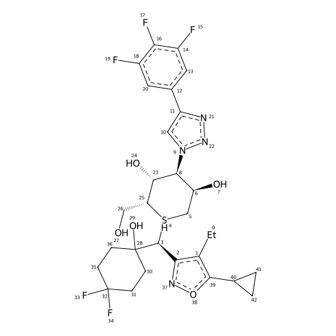 CCc1c([C@H]([SH]2C[C@H](O)[C@H](n3cc(-c4cc(F)c(F)c(F)c4)nn3)[C@@H](O)[C@H]2CO)C2(O)CCC(F)(F)CC2)noc1C1CC1